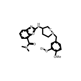 CCOc1cc(CN2CCC(Nc3nc4cccc(C(=O)N(C)C)c4o3)CC2)ccc1OC